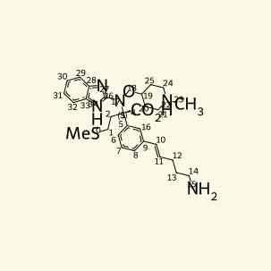 CSCC[C@@](C(=O)O)(c1cccc(C=CCCCN)c1)N(OC1CCN(C)CC1)c1nc2ccccc2[nH]1